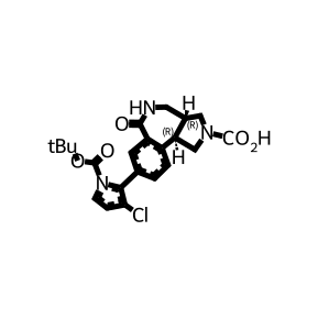 CC(C)(C)OC(=O)n1ccc(Cl)c1-c1ccc2c(c1)C(=O)NC[C@@H]1CN(C(=O)O)C[C@@H]21